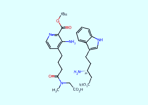 CCOC(=O)C[C@H](N)CCc1c[nH]c2ccccc12.CN(CC(=O)O)C(=O)CCCc1ccnc(C(=O)OC(C)(C)C)c1N